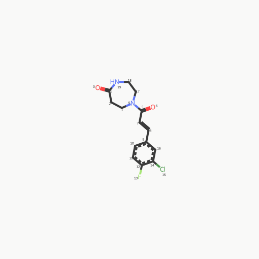 O=C1CCN(C(=O)C=Cc2ccc(F)c(Cl)c2)CCN1